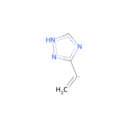 C=[C]c1nc[nH]n1